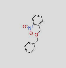 O=[N+]([O-])c1ccccc1COCc1ccccc1